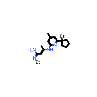 CC/N=C(N)\C=C(/C)Nc1cc(C)cc(C2(CC)CCCC2)n1